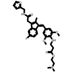 COc1cc(/C=C2/C(C)=C(CC(=O)NCc3ccco3)c3cc(F)ccc32)cc(OC)c1NCCC(=O)OCCN(C)C